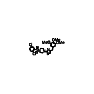 COc1cc(Cc2csc(N3CCN(S(=O)(=O)c4cc(Cl)ccc4Cl)CC3)n2)cc(OC)c1OC